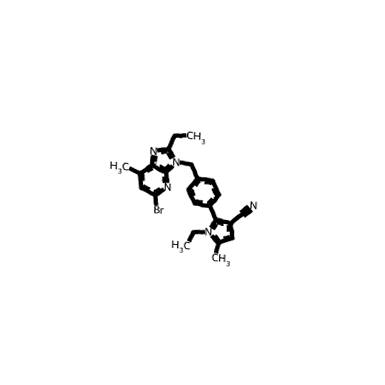 CCc1nc2c(C)cc(Br)nc2n1Cc1ccc(-c2c(C#N)cc(C)n2CC)cc1